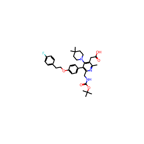 Cc1nc(CNC(=O)OC(C)(C)C)c(-c2ccc(OCCc3ccc(F)cc3)cc2)c(N2CCC(C)(C)CC2)c1CC(=O)O